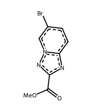 COC(=O)c1nc2ccc(Br)cn2n1